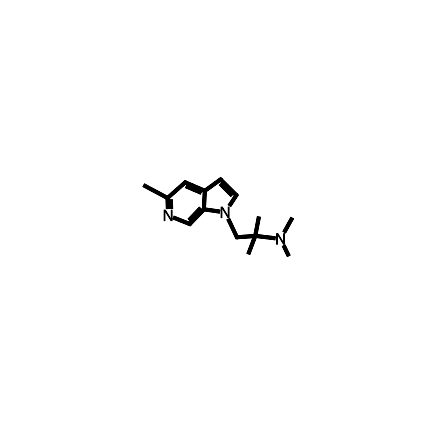 Cc1cc2ccn(CC(C)(C)N(C)C)c2cn1